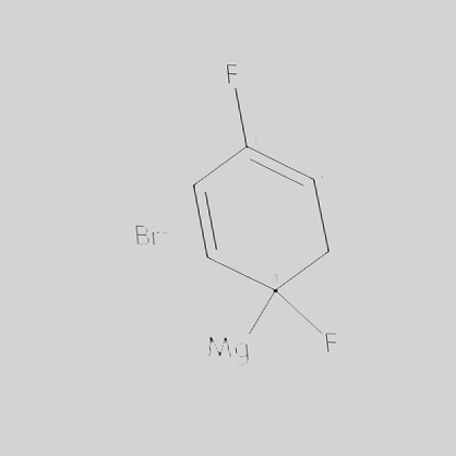 FC1=CC[C](F)([Mg+])C=C1.[Br-]